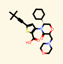 CC(C)(C)C#Cc1cc(N2C(=O)C(CN3CCOCC3)OC[C@H]2C2CCCCC2)c(C(=O)O)s1